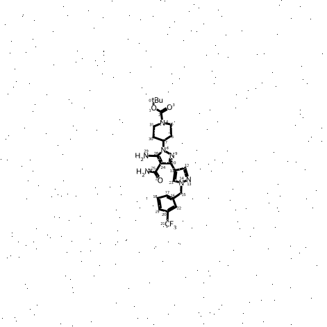 CC(C)(C)OC(=O)N1CCC(n2nc(-c3cnn(Cc4cccc(C(F)(F)F)c4)c3)c(C(N)=O)c2N)CC1